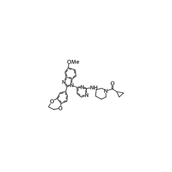 COc1ccc2c(c1)nc(-c1ccc3c(c1)OCCO3)n2-c1ccnc(N[C@H]2CCCN(C(=O)C3CC3)C2)n1